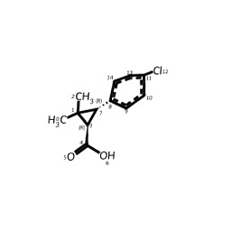 CC1(C)[C@H](C(=O)O)[C@H]1c1ccc(Cl)cc1